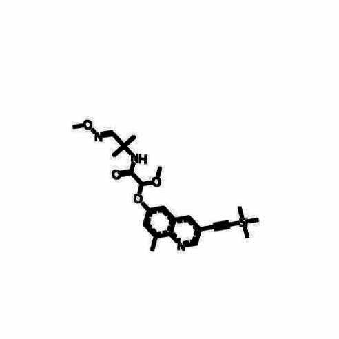 CON=CC(C)(C)NC(=O)C(OC)Oc1cc(C)c2ncc(C#C[Si](C)(C)C)cc2c1